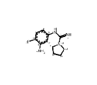 N=C(Nc1ccc(F)c(N)c1)N1CCCC1